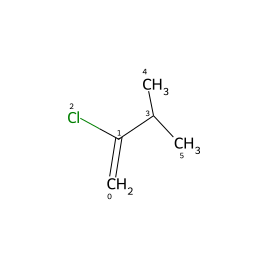 C=C(Cl)C(C)C